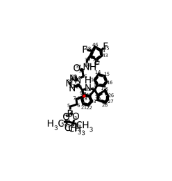 CC1(C)OB(CCCCC(NC(c2ccccc2)(c2ccccc2)c2ccccc2)c2nnnn2CC(=O)NCc2c(F)cc(F)cc2F)OC1(C)C